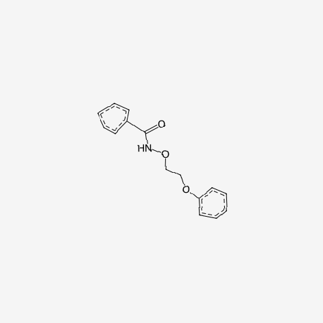 O=C(NOCCOc1ccccc1)c1ccccc1